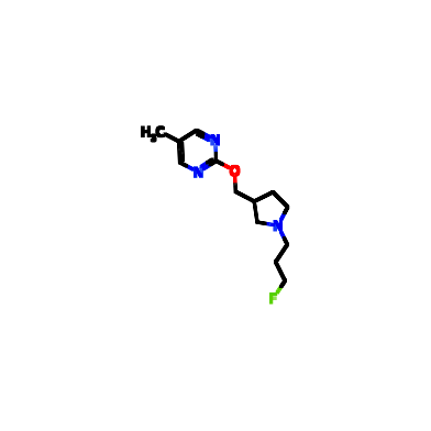 Cc1cnc(OCC2CCN(CCCF)C2)nc1